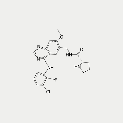 COc1cc2ncnc(Nc3cccc(Cl)c3F)c2cc1CNC(=O)[C@@H]1CCCN1